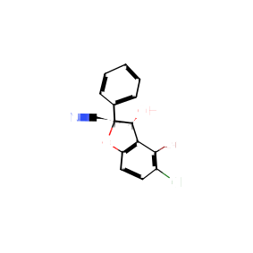 N#C[C@]1(c2ccccc2)Oc2ccc(Cl)c(Br)c2[C@@H]1O